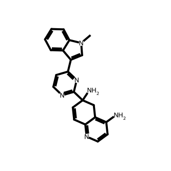 Cn1cc(-c2ccnc(C3(N)C=Cc4nccc(N)c4C3)n2)c2ccccc21